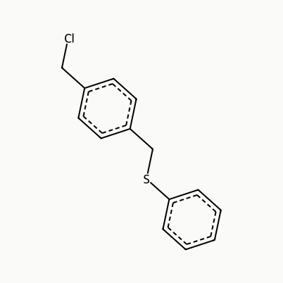 ClCc1ccc(CSc2ccccc2)cc1